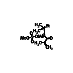 C=C(C)C(=O)OC[N+](C)(C)CC.COS(=O)(=O)OC